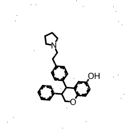 Oc1ccc2c(c1)C(c1ccc(CCN3CCCC3)cc1)C(c1ccccc1)CO2